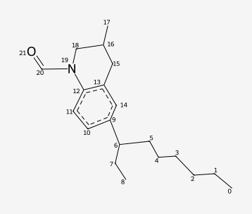 CCCCCCC(CC)c1ccc2c(c1)CC(C)CN2C=O